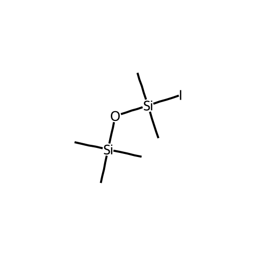 C[Si](C)(C)O[Si](C)(C)I